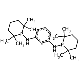 CC1(C)CCCC(C)(C)P1Nc1cccc(NP2C(C)(C)CCCC2(C)C)n1